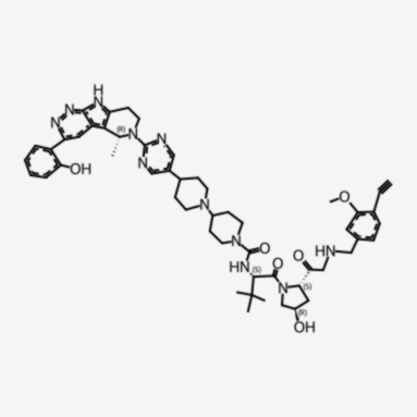 C#Cc1ccc(CNCC(=O)[C@@H]2C[C@@H](O)CN2C(=O)[C@@H](NC(=O)N2CCC(N3CCC(c4cnc(N5CCc6[nH]c7nnc(-c8ccccc8O)cc7c6[C@H]5C)nc4)CC3)CC2)C(C)(C)C)cc1OC